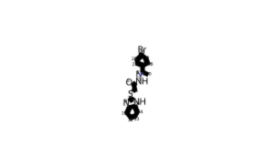 C/C(=N\NC(=O)CSc1nc2ccccc2[nH]1)c1ccc(Br)cc1